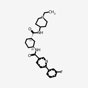 CCN1CCC(NC(=O)[C@H]2CCC[C@@H](NC(=O)c3ccc(-c4cccc(F)c4)nc3)C2)CC1